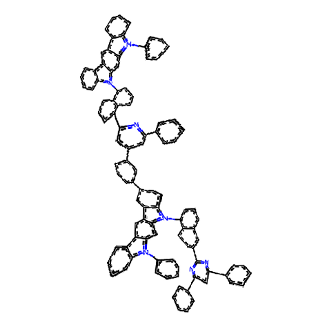 c1ccc(-c2cc(-c3cccc(-c4ccc5c(c4)c4cc6c7ccccc7n(-c7ccccc7)c6cc4n5-c4cccc5cc(-c6nc(-c7ccccc7)cc(-c7ccccc7)n6)ccc45)c3)cc(-c3cccc4c(-n5c6ccccc6c6cc7c8ccccc8n(-c8ccccc8)c7cc65)cccc34)n2)cc1